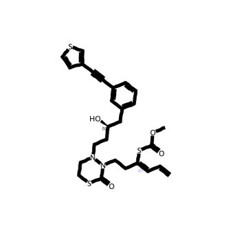 C=C/C=C(/CCN1C(=O)SCCN1CC[C@@H](O)Cc1cccc(C#Cc2ccsc2)c1)SC(=O)OC